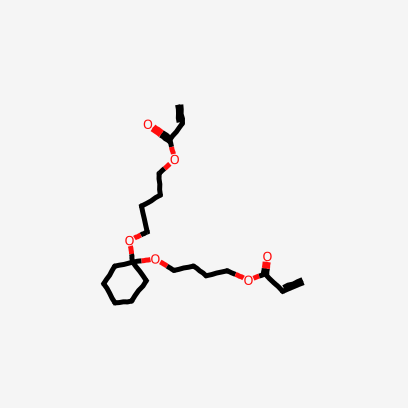 C=CC(=O)OCCCCOC1(OCCCCOC(=O)C=C)CCCCC1